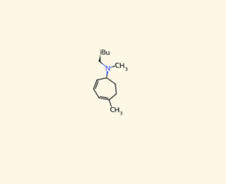 CC[C@H](C)CN(C)[C@@H]1C=CC=C(C)CC1